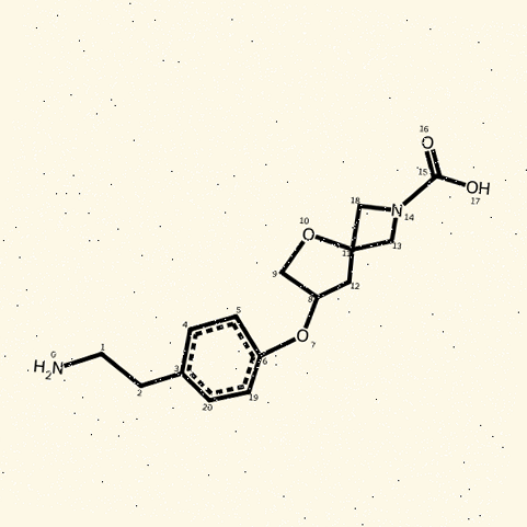 NCCc1ccc(OC2COC3(C2)CN(C(=O)O)C3)cc1